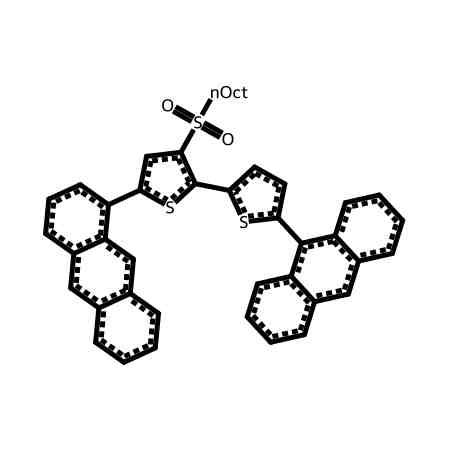 CCCCCCCCS(=O)(=O)c1cc(-c2cccc3cc4ccccc4cc23)sc1-c1ccc(-c2c3ccccc3cc3ccccc23)s1